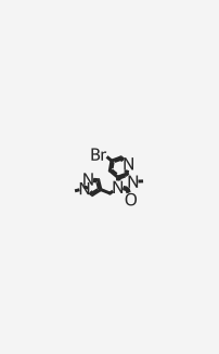 Cn1cc(Cn2c(=O)n(C)c3ncc(Br)cc32)cn1